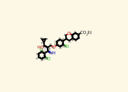 CCOC(=O)c1ccc2c(c1)OCC(c1ccc(OC/C(C(=N)c3c(Cl)cccc3Cl)=C(/O)C3CC3)cc1Cl)C2